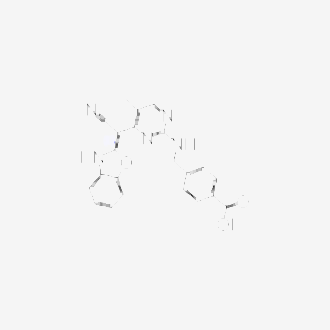 Cc1cnc(NCc2ccc(C(=O)O)cc2)nc1/C(C#N)=C1/Nc2ccccc2O1